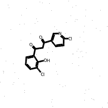 O=C(CC(=O)c1cccc(Cl)c1O)c1ccc(Cl)nc1